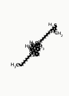 C=CC1CC(C=C)C(COCCCCCCCCCCOC(=O)C(C)(C)CC(c2ccccc2)C(C(=O)O)C(CC(SC(=S)SCCCCCCCCCCCC)c2ccccc2)C(=O)O)C1